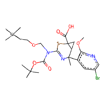 COc1ncc(Br)cc1C1(C)N=C(N(COCC[Si](C)(C)C)C(=O)OC(C)(C)C)SC2(C(=O)O)CC21